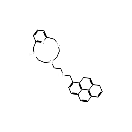 C1=Cc2ccc3ccc(CNCCN4CCNCc5cccc(n5)CNCC4)c4c3c2C(=CC4)C1